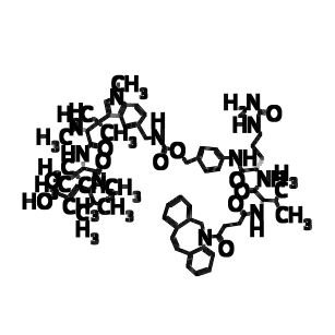 CN[C@@H](C(=O)N[C@H](C(=O)N(C)[C@H](/C=C(\C)C(=O)O)C(C)C)C(C)(C)C)C(C)(C)c1cn(C)c2ccc(CNC(=O)OCc3ccc(NC(=O)[C@H](CCCNC(N)=O)NC(=O)[C@@H](NC(=O)CCC(=O)N4Cc5ccccc5/C=C\c5ccccc54)C(C)C)cc3)cc12